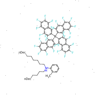 CCCCCCCCCCCCCCCC[NH+](CCCCCCCCCCCCCC)c1ccccc1C.Fc1c(F)c(F)c2c(F)c([B-](c3c(F)c(F)c4c(F)c(F)c(F)c(F)c4c3F)(c3c(F)c(F)c4c(F)c(F)c(F)c(F)c4c3F)c3c(F)c(F)c4c(F)c(F)c(F)c(F)c4c3F)c(F)c(F)c2c1F